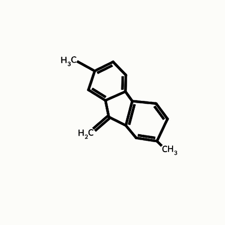 C=C1c2cc(C)ccc2-c2ccc(C)cc21